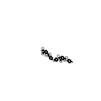 Cc1ccc(NC(=O)c2ccc3c(c2)C(=O)N(c2ccc(Oc4ccc(NC(=O)c5ccc6c(c5)C(=O)N(C)C6=O)cc4)cc2)C3=O)cc1